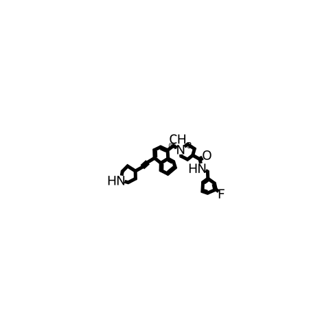 C[C@H](c1ccc(C#CC2CCNCC2)c2ccccc12)N1CCC(C(=O)NCc2cccc(F)c2)CC1